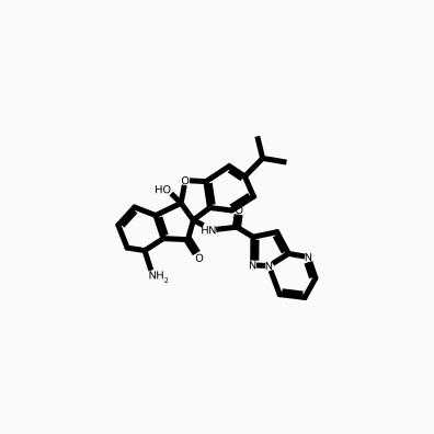 CC(C)c1ccc2c(c1)OC1(O)C3=C(C(=O)C21NC(=O)c1cc2ncccn2n1)C(N)CC=C3